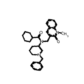 Cn1c(=O)c(CN(C(=O)C2CCCCC2)C2CCCN(Cc3ccccc3)C2)cc2ccccc21